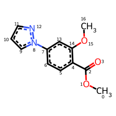 COC(=O)c1ccc(-n2cccn2)cc1OC